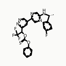 C[C@@H](Nc1cnc(-c2cnnc(C(OC(=S)Oc3ccccc3)C(F)(F)F)c2)cn1)c1ccc(F)cc1